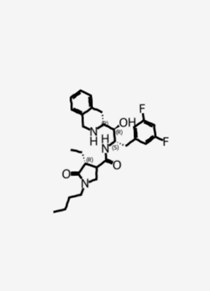 CCCCN1CC(C(=O)N[C@@H](Cc2cc(F)cc(F)c2)[C@H](O)[C@H]2Cc3ccccc3CN2)[C@@H](CC)C1=O